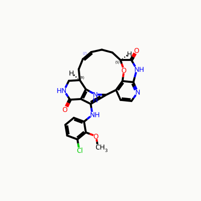 COc1c(Cl)cccc1Nc1c2[nH]c3c1C(=O)NC[C@H]3C/C=C\CC[C@@H]1Oc3c-2ccnc3NC1=O